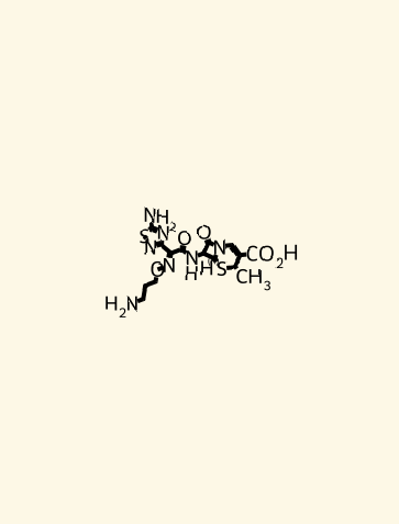 CC1S[C@@H]2C(NC(=O)C(=NOCCCN)c3nsc(N)n3)C(=O)N2C=C1C(=O)O